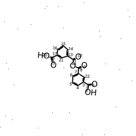 O=C(O)c1cccc(C(=O)OC(=O)c2cccc(C(=O)O)c2)c1